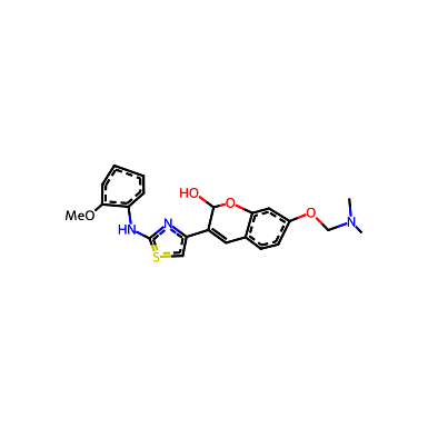 COc1ccccc1Nc1nc(C2=Cc3ccc(OCN(C)C)cc3OC2O)cs1